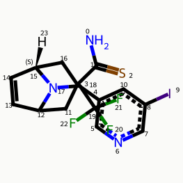 NC(=S)C1(c2cncc(I)c2)CC2C=C[C@H](C1)N2CC(F)(F)F